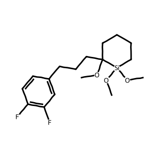 COC1(CCCc2ccc(F)c(F)c2)CCCC[Si]1(OC)OC